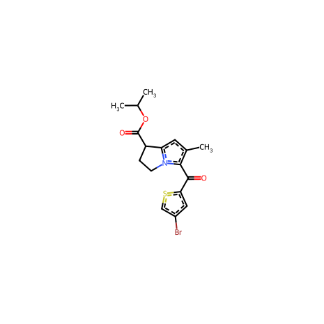 Cc1cc2n(c1C(=O)c1cc(Br)cs1)CCC2C(=O)OC(C)C